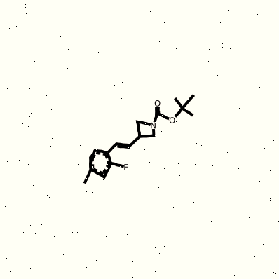 Cc1ccc(/C=C/C2CN(C(=O)OC(C)(C)C)C2)c(F)c1